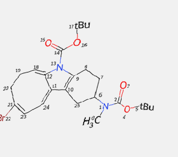 CN(C(=O)OC(C)(C)C)C1CCc2c(c3/c(n2C(=O)OC(C)(C)C)=C\CC/C(Br)=C\C=3)C1